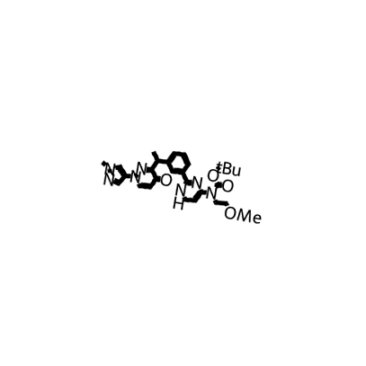 COCCN(C(=O)OC(C)(C)C)C1=CCNC(c2cccc(C(C)c3nn(-c4cnn(C)c4)ccc3=O)c2)=N1